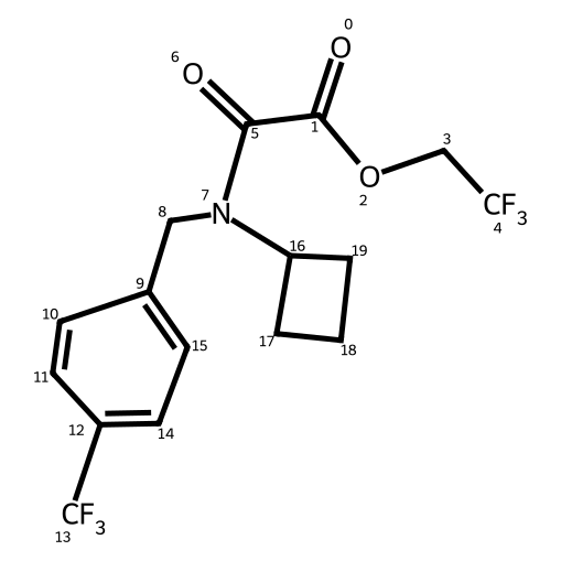 O=C(OCC(F)(F)F)C(=O)N(Cc1ccc(C(F)(F)F)cc1)C1CCC1